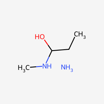 CCC(O)NC.N